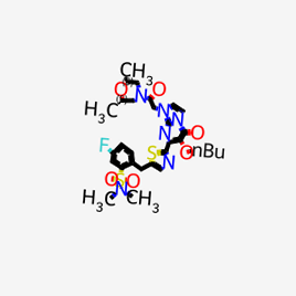 CCCCOc1c(-c2ncc(Cc3ccc(F)cc3S(=O)(=O)N(C)C)s2)nc2n(CC(=O)N3C[C@H](C)O[C@@H](C)C3)ccn2c1=O